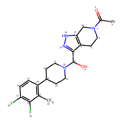 CC(C)C(=O)N1CCc2c(C(O)N3CCC(c4ccc(F)c(F)c4C(F)(F)F)CC3)n[nH]c2C1